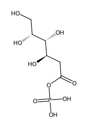 O=C(C[C@@H](O)[C@@H](O)[C@H](O)CO)OP(=O)(O)O